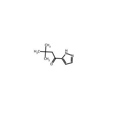 CC(C)(C)CC(=O)c1ccn[nH]1